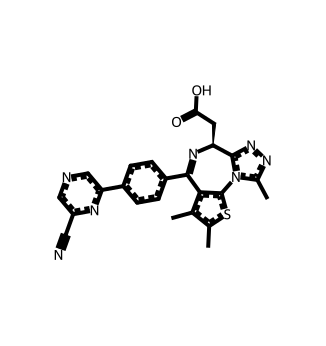 Cc1sc2c(c1C)C(c1ccc(-c3cncc(C#N)n3)cc1)=N[C@@H](CC(=O)O)c1nnc(C)n1-2